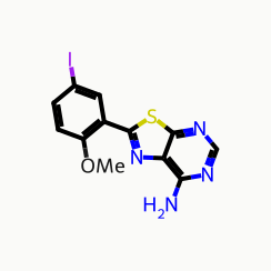 COc1ccc(I)cc1-c1nc2c(N)ncnc2s1